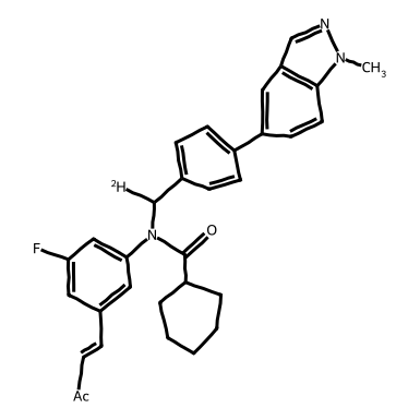 [2H]C(c1ccc(-c2ccc3c(cnn3C)c2)cc1)N(C(=O)C1CCCCC1)c1cc(F)cc(/C=C/C(C)=O)c1